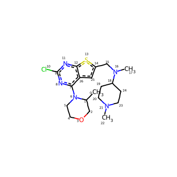 CC1COCCN1c1nc(Cl)nc2sc(CN(C)C3CCN(C)CC3)cc12